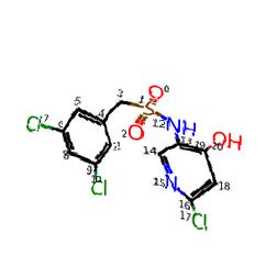 O=S(=O)(Cc1cc(Cl)cc(Cl)c1)Nc1cnc(Cl)cc1O